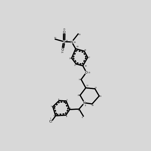 CC(c1cccc(Cl)c1)N1CCCC(COc2ccc(N(C)S(C)(=O)=O)cc2)C1